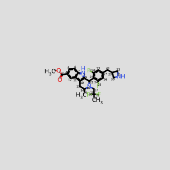 COC(=O)c1ccc2[nH]c3c(c2c1)CC(C)N(CC(C)(F)F)C3c1c(F)cc(CC2CNC2)cc1F